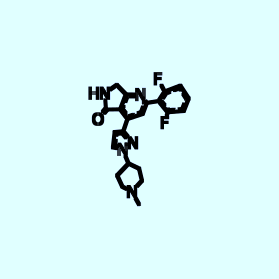 CN1CCC(n2ccc(-c3cc(-c4c(F)cccc4F)nc4c3C(=O)NC4)n2)CC1